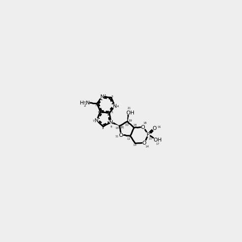 Nc1ncnc2c1ncn2[C@@H]1OC2COP(=O)(O)OC2[C@@H]1O